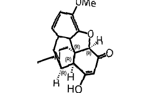 COC1=C2O[C@H]3C(=O)C=C(O)[C@H]4[C@H]5CC(C=C1)C2[C@@]34CCN5C